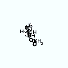 Nc1ccccc1-c1ccc(CNC(=O)[C@H](O)[C@@H](O)C(=O)N2CCCC2c2nccs2)cc1